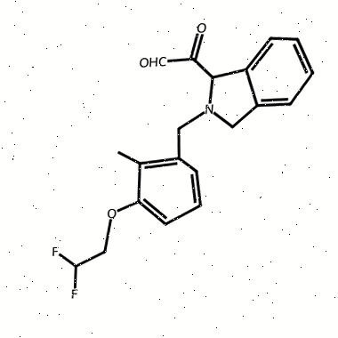 Cc1c(CN2Cc3ccccc3C2C(=O)C=O)cccc1OCC(F)F